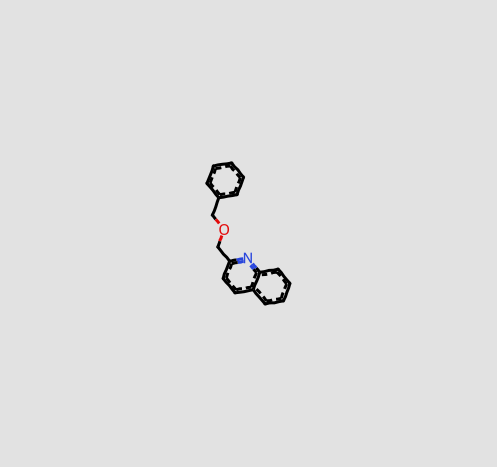 c1ccc(COCc2ccc3ccccc3n2)cc1